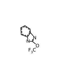 FC(F)(F)OC1=Nc2ccccc2[N]1